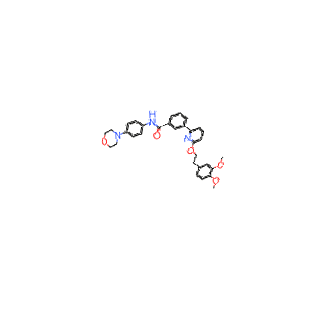 COc1ccc(CCOc2cccc(-c3cccc(C(=O)Nc4ccc(N5CCOCC5)cc4)c3)n2)cc1OC